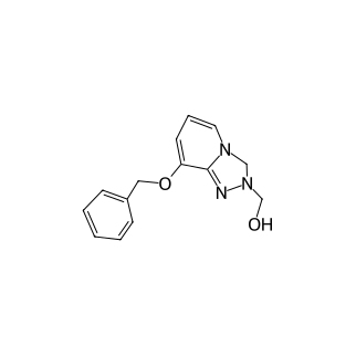 OCN1CN2C=CC=C(OCc3ccccc3)C2=N1